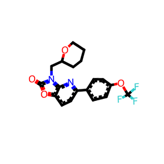 O=c1oc2ccc(-c3ccc(OC(F)(F)F)cc3)nc2n1CC1CCCCO1